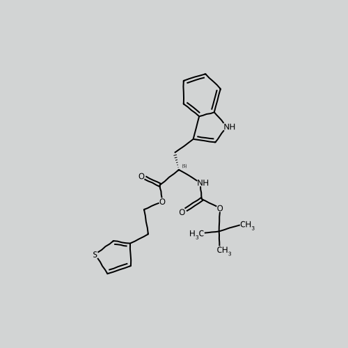 CC(C)(C)OC(=O)N[C@@H](Cc1c[nH]c2ccccc12)C(=O)OCCc1ccsc1